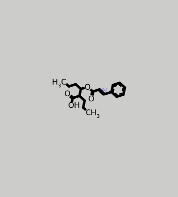 CCCC(OC(=O)/C=C/c1ccccc1)C(CCC)C(=O)O